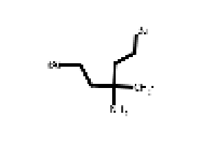 [CH2]C(N)(CCC(C)CC)CCC(C)CC